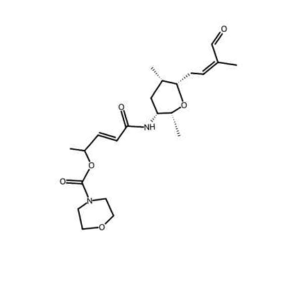 CC(C=O)=CC[C@@H]1O[C@H](C)[C@H](NC(=O)C=CC(C)OC(=O)N2CCOCC2)C[C@@H]1C